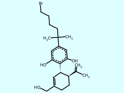 C=C(C)[C@H]1CCC(CO)=C[C@@H]1c1c(O)cc(C(C)(C)CCCCBr)cc1O